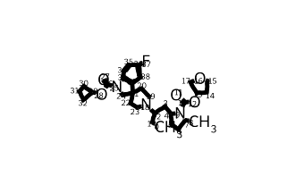 CCC(CC1CCC(C)N1C(=O)O[C@@H]1CCOC1)N1CCC2(CC1)CN(C(=O)OC1CCC1)c1ccc(F)cc12